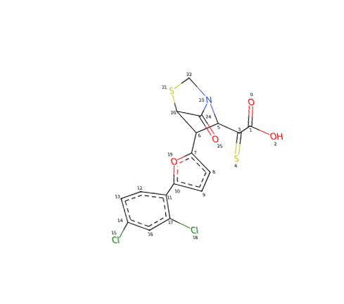 O=C(O)C(=S)C1C(c2ccc(-c3ccc(Cl)cc3Cl)o2)C2SCN1C2=O